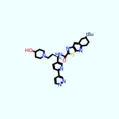 CC(C)(C)C1CCc2nc3sc(C(=O)N[C@H](CCN4CCC(O)CC4)c4ccc(-c5ccnnc5)nc4)nc3cc2C1